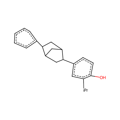 CC(C)c1cc(C2CC3CC2CC3c2ccccc2)ccc1O